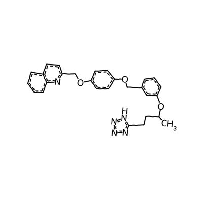 CC(CCc1nnn[nH]1)Oc1cccc(COc2ccc(OCc3ccc4ccccc4n3)cc2)c1